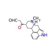 CN1C[C@H](C(=O)CC=O)CC2c3cccc4[nH]cc(c34)C[C@H]21